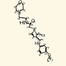 CC/N=C1\C(=C(/C)Nc2ccc(OC(F)(F)F)cc2)C=CN1CCC(=O)NCCN1CCOCC1